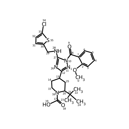 COc1ccccc1C(=O)n1nc(C2CCN(C(=O)O)C(C(C)(C)C)C2)nc1NCc1ccc(Cl)s1